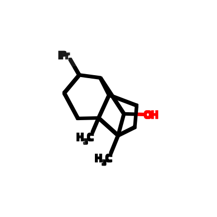 CC(C)C1CCC2(C)C3CCC2(C)C(O)C13